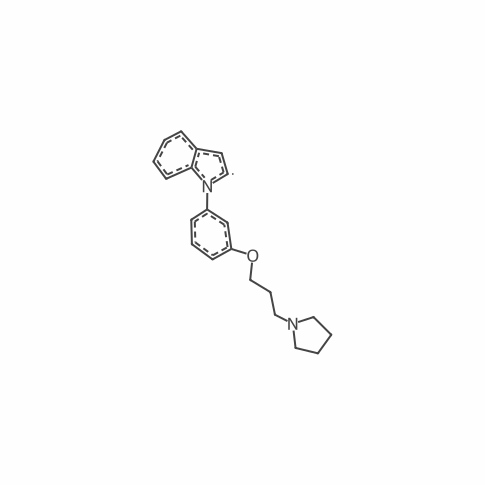 [c]1cc2ccccc2n1-c1cccc(OCCCN2CCCC2)c1